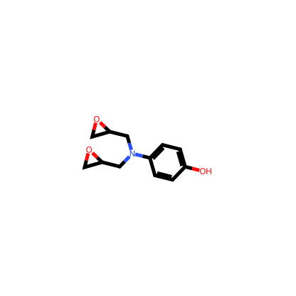 Oc1ccc(N(CC2CO2)CC2CO2)cc1